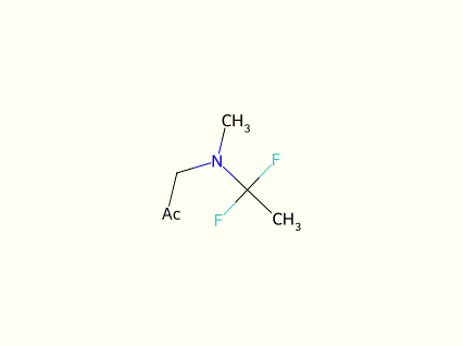 CC(=O)CN(C)C(C)(F)F